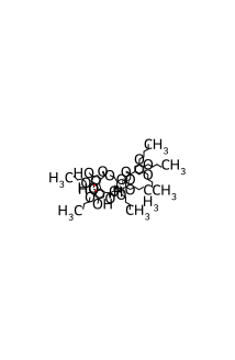 CCCCOc1cc(C(=O)O[C@@H]2OC3COC(=O)c4cc(O)c(OCCCC)c(O)c4-c4c(cc(O)c(OCCCC)c4O)C(=O)O[C@H]3[C@H](OCCCC)C2OCCCC)cc(OCCCC)c1OCCCC